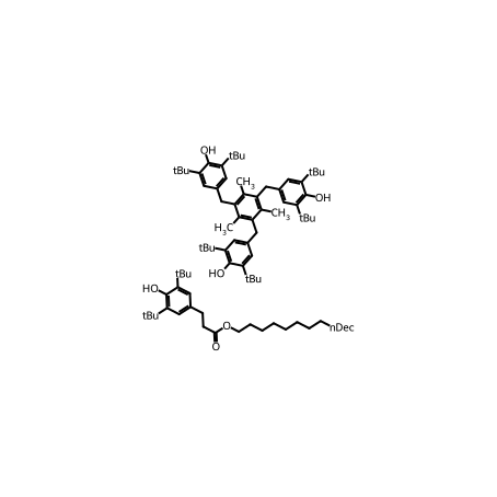 CCCCCCCCCCCCCCCCCCOC(=O)CCc1cc(C(C)(C)C)c(O)c(C(C)(C)C)c1.Cc1c(Cc2cc(C(C)(C)C)c(O)c(C(C)(C)C)c2)c(C)c(Cc2cc(C(C)(C)C)c(O)c(C(C)(C)C)c2)c(C)c1Cc1cc(C(C)(C)C)c(O)c(C(C)(C)C)c1